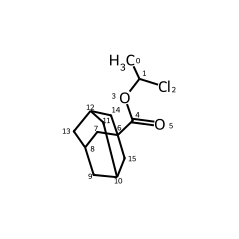 CC(Cl)OC(=O)C12CC3CC(CC(C3)C1)C2